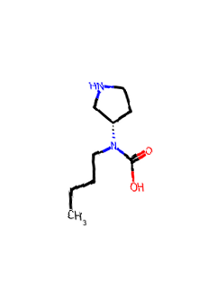 CCCCN(C(=O)O)[C@H]1CCNC1